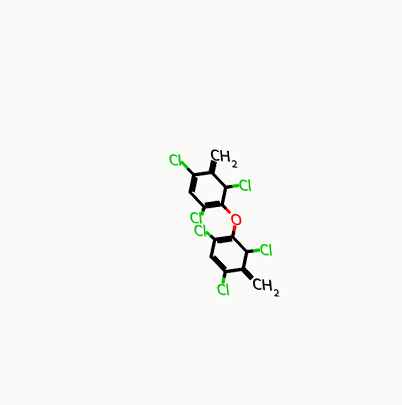 C=C1C(Cl)=CC(Cl)=C(OC2=C(Cl)C=C(Cl)C(=C)C2Cl)C1Cl